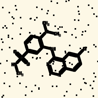 CNS(=O)(=O)c1ccc(N(C)C)c(Nc2ncnc3ccc(Cl)cc23)c1